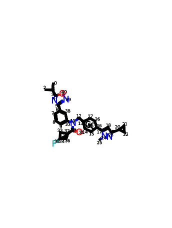 CC(C)c1nc(-c2cccc(N(CC34CCC(c5cc(C6CC6)nn5C)(CC3)CC4)C(=O)C34CC(F)(C3)C4)c2)no1